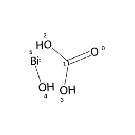 O=C(O)O.[OH][Bi]